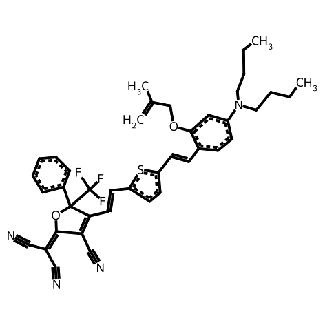 C=C(C)COc1cc(N(CCCC)CCCC)ccc1/C=C/c1ccc(/C=C/C2=C(C#N)C(=C(C#N)C#N)OC2(c2ccccc2)C(F)(F)F)s1